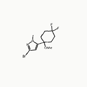 COC1(c2cc(Br)nn2C)CCC(F)(F)CC1